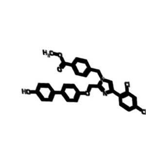 COC(=O)c1ccc(Cn2cc(-c3ccc(Cl)cc3Cl)nc2COc2ccc(-c3ccc(O)cc3)cc2)cc1